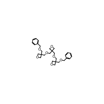 c1ccc(COCC2(COCC3(COCC4(COCc5ccccc5)COC4)COC3)COC2)cc1